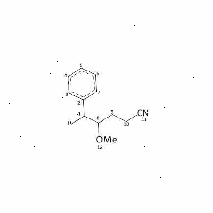 [CH2]C(c1ccccc1)C(CCC#N)OC